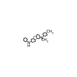 Cc1ccc(N(C)c2ccc3c(c2)-c2ccc(Nc4ccccc4)cc2C3)cc1